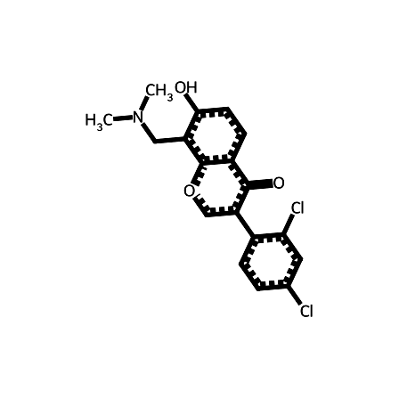 CN(C)Cc1c(O)ccc2c(=O)c(-c3ccc(Cl)cc3Cl)coc12